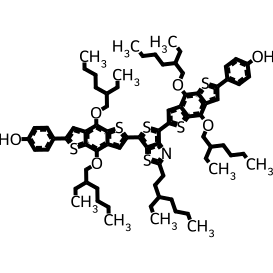 CCCCC(CC)CCc1nc2c(-c3cc4c(OCC(CC)CCCC)c5sc(-c6ccc(O)cc6)cc5c(OCC(CC)CCCC)c4s3)sc(-c3cc4c(OCC(CC)CCCC)c5sc(-c6ccc(O)cc6)cc5c(OCC(CC)CCCC)c4s3)c2s1